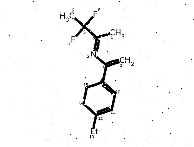 C=C(/N=C(\C)C(C)(F)F)C1=CC=C(CC)CC1